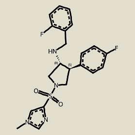 Cn1cnc(S(=O)(=O)N2C[C@H](NCc3ccccc3F)[C@@H](c3ccc(F)cc3)C2)c1